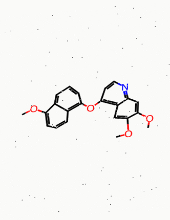 COc1cc2nccc(Oc3cccc4c(OC)cccc34)c2cc1OC